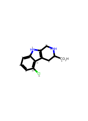 O=C(O)C1Cc2c([nH]c3cccc(Cl)c23)CN1